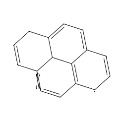 [CH]1C=CC2=CC=C3CC=CC45C=CC=CC4=CC1=C2C35